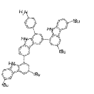 CC(C)(C)c1ccc2[nH]c3c(-c4ccc5[nH]c6c(-c7ccc(N)cc7)cc(-c7cc(C(C)(C)C)cc8c7[nH]c7ccc(C(C)(C)C)cc78)cc6c5c4)cc(C(C)(C)C)cc3c2c1